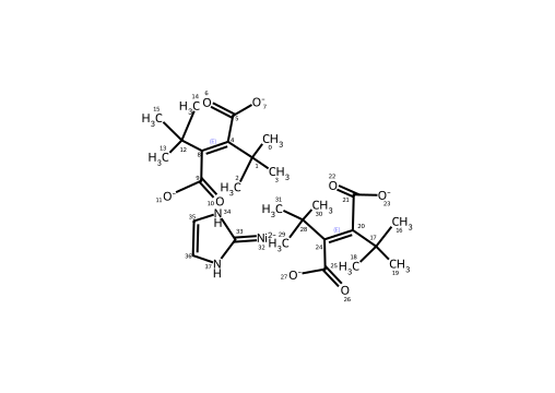 CC(C)(C)/C(C(=O)[O-])=C(\C(=O)[O-])C(C)(C)C.CC(C)(C)/C(C(=O)[O-])=C(\C(=O)[O-])C(C)(C)C.[Ni-2]=[c]1[nH]cc[nH]1